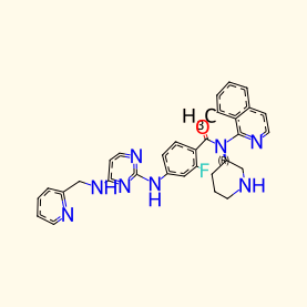 Cc1cccc2ccnc(N(C(=O)c3ccc(Nc4nccc(NCc5ccccn5)n4)cc3F)[C@@H]3CCCNC3)c12